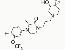 C[C@H]1C(=O)N(CCCN2CCC3(CC3)[C@H](O)C2)CCN1c1ccc(F)c(OC(F)(F)F)c1